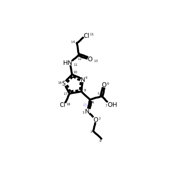 CCO/N=C(\C(=O)O)c1nc(NC(=O)CCl)sc1Cl